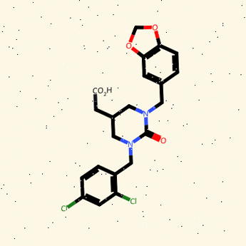 O=C(O)CC1CN(Cc2ccc3c(c2)OCO3)C(=O)N(Cc2ccc(Cl)cc2Cl)C1